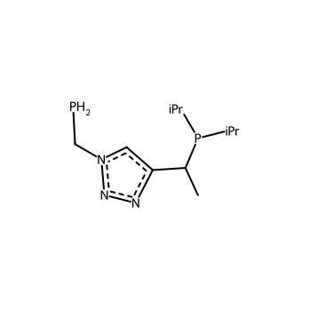 CC(C)P(C(C)C)C(C)c1cn(CP)nn1